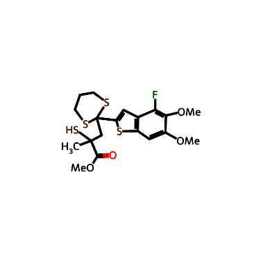 COC(=O)C(C)(S)CC1(c2cc3c(F)c(OC)c(OC)cc3s2)SCCCS1